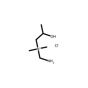 CC(O)C[N+](C)(C)CN.[Cl-]